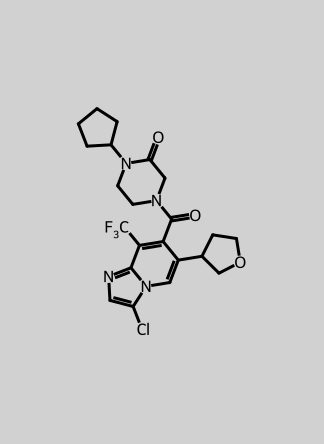 O=C(c1c(C2CCOC2)cn2c(Cl)cnc2c1C(F)(F)F)N1CCN(C2CCCC2)C(=O)C1